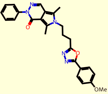 COc1ccc(-c2nnc(CCCn3c(C)c4cnn(-c5ccccc5)c(=O)c4c3C)o2)cc1